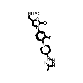 CC(=O)NCC1CN(c2ccc(N3CCC(n4nnc(C)n4)CC3)c(F)c2)C(=O)O1